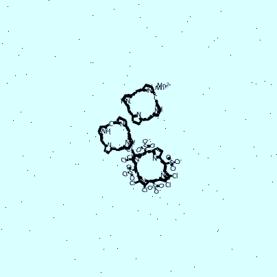 C1=Cc2cc3ccc(cc4nc(cc5ccc(cc1n2)[nH]5)C=C4)[nH]3.C1=Cc2cc3ccc(cc4nc(cc5ccc(cc1n2)[nH]5)C=C4)[nH]3.O=S(=O)([O-])c1c2nc(c(S(=O)(=O)[O-])c3c(Cl)c(Cl)c(c(S(=O)(=O)[O-])c4nc(c(S(=O)(=O)[O-])c5c(Cl)c(Cl)c1n5Cl)C(Cl)=C4Cl)n3Cl)C=C2.[Mn+2].[Mn+2]